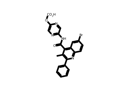 Cc1c(-c2ccccc2)nc2ccc(Br)cc2c1C(=O)Nc1cnc(OC(=O)O)cn1